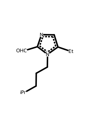 CCc1cnc(C=O)n1CCCC(C)C